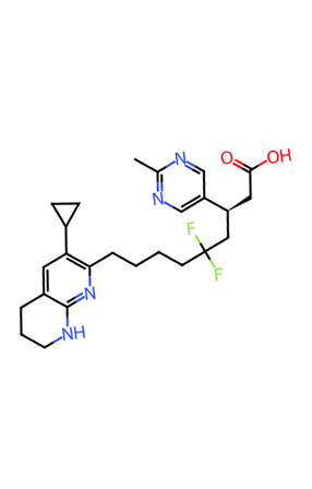 Cc1ncc([C@@H](CC(=O)O)CC(F)(F)CCCCc2nc3c(cc2C2CC2)CCCN3)cn1